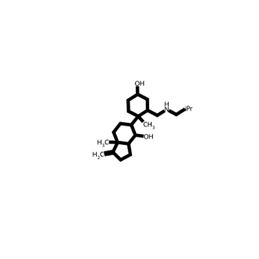 C=C1CCC2C(O)C(C3(C)CCC(O)CC3CNCC(C)C)CCC12C